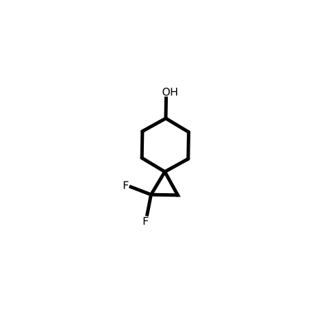 OC1CCC2(CC1)CC2(F)F